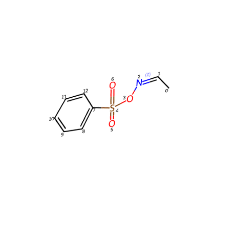 C/C=N\OS(=O)(=O)c1ccccc1